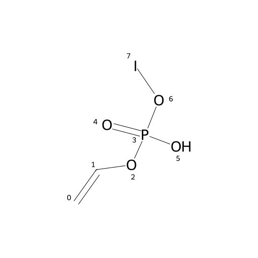 C=COP(=O)(O)OI